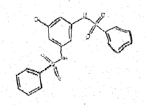 O=S(=O)(Nc1cc(Cl)cc(NS(=O)(=O)c2ccccc2)c1)c1ccccc1